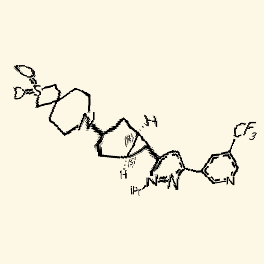 CC(C)n1nc(-c2cncc(C(F)(F)F)c2)cc1C1[C@H]2CC(N3CCC4(CC3)CS(=O)(=O)C4)C[C@@H]12